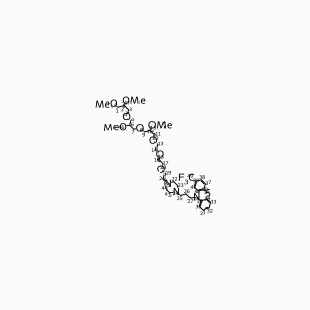 COCC(COCC(COCC(COCCOCCOCCN1CCN(CCCN2c3ccccc3Sc3ccc(C(F)(F)F)cc32)CC1)OC)OC)OC